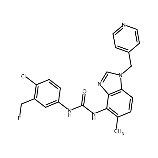 Cc1ccc2c(ncn2Cc2ccncc2)c1NC(=O)Nc1ccc(Cl)c(CF)c1